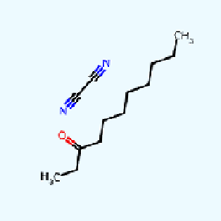 CCCCCCCCC(=O)CC.N#CC#N